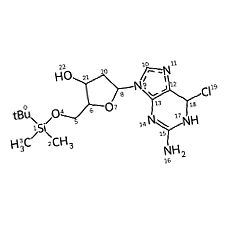 CC(C)(C)[Si](C)(C)OCC1OC(n2cnc3c2N=C(N)NC3Cl)CC1O